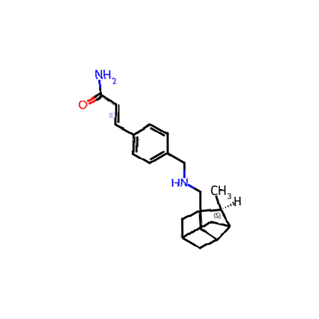 C[C@H]1C2CC3CC2CC1(CNCc1ccc(/C=C/C(N)=O)cc1)C3